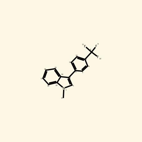 Cn1cc(-c2ccc(C(F)(F)F)cc2)c2cc[c]cc21